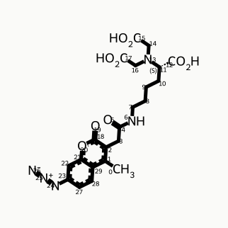 Cc1c(CC(=O)NCCCC[C@@H](C(=O)O)N(CC(=O)O)CC(=O)O)c(=O)oc2cc(N=[N+]=[N-])ccc12